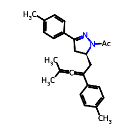 CC(=O)N1N=C(c2ccc(C)cc2)C[C@@H]1CC(=C=C(C)C)c1ccc(C)cc1